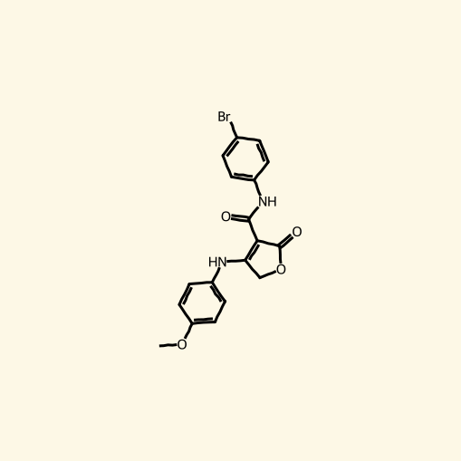 COc1ccc(NC2=C(C(=O)Nc3ccc(Br)cc3)C(=O)OC2)cc1